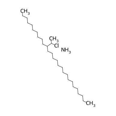 CCCCCCCCCCCCCCCCC(CCCCCCCCCC)C(C)Cl.N